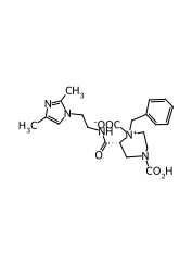 Cc1cn(CCNC(=O)[C@H]2CN(C(=O)O)CC[N+]2(Cc2ccccc2)C(=O)[O-])c(C)n1